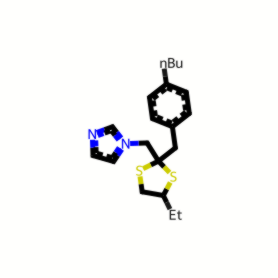 CCCCc1ccc(CC2(Cn3ccnc3)SCC(CC)S2)cc1